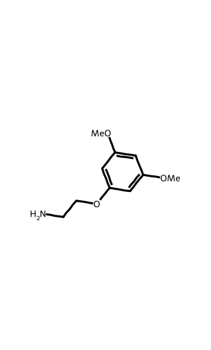 COc1cc(OC)cc(OCCN)c1